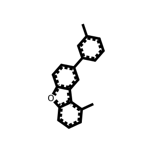 Cc1cccc(-c2ccc3oc4cccc(C)c4c3c2)c1